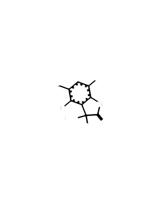 CC1(C)C(=O)Nc2c(F)cc(Cl)c(F)c21